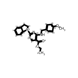 CCOC(=O)c1cnc(N2CCc3ccccc32)nc1NCc1ccc(OC)cc1